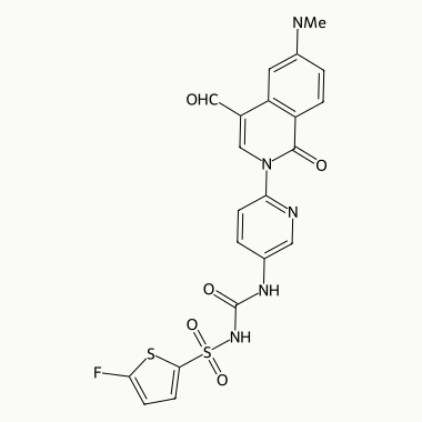 CNc1ccc2c(=O)n(-c3ccc(NC(=O)NS(=O)(=O)c4ccc(F)s4)cn3)cc(C=O)c2c1